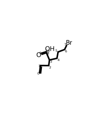 C=CCC(CCCBr)C(=O)O